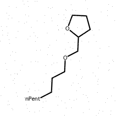 CCCCCCCCOCC1CCCO1